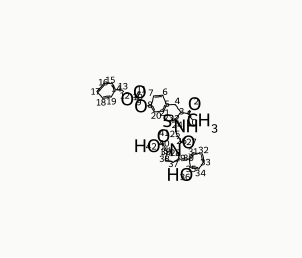 CC(=O)C(Cc1ccc(OC(=O)OCc2ccccc2)cc1)C(=S)NCC(=O)N1C(c2ccccc2O)CC[C@H]1C(=O)O